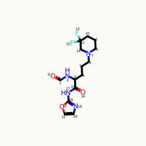 O=CNC(CCCN1CCCC(F)(F)C1)C(=O)Nc1ncco1